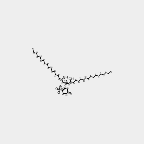 CCCCCCCCCCCCCCCCC(O)C[N+](C)(C)CC(O)CCCCCCCCCCCCCCCC.Cc1ccc(S(=O)(=O)[O-])cc1